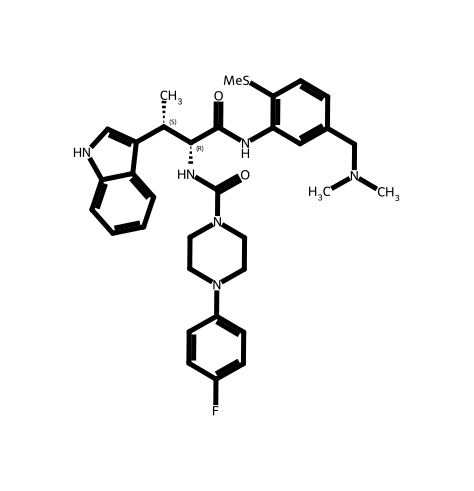 CSc1ccc(CN(C)C)cc1NC(=O)[C@H](NC(=O)N1CCN(c2ccc(F)cc2)CC1)[C@@H](C)c1c[nH]c2ccccc12